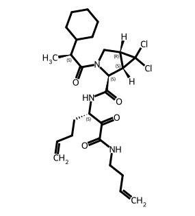 C=CCCNC(=O)C(=O)[C@H](CCC=C)NC(=O)[C@@H]1[C@@H]2[C@H](CN1C(=O)[C@@H](C)C1CCCCC1)C2(Cl)Cl